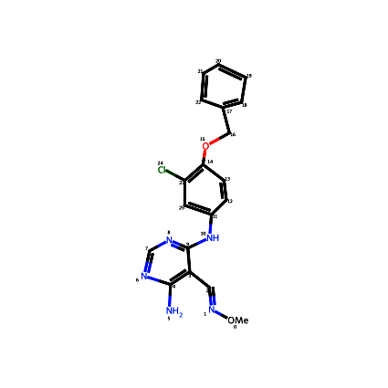 CO/N=C/c1c(N)ncnc1Nc1ccc(OCc2ccccc2)c(Cl)c1